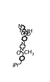 CC(C)Cc1ccc([C@@H](C)C(=O)N2CCN(c3ccc(S(=O)(=O)Nc4ccncn4)cc3)CC2)cc1